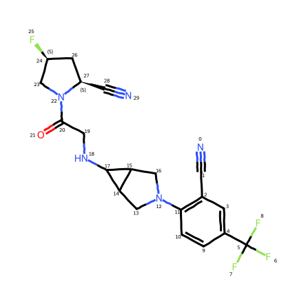 N#Cc1cc(C(F)(F)F)ccc1N1CC2C(C1)C2NCC(=O)N1C[C@@H](F)C[C@H]1C#N